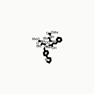 COC(=O)NC(C(=O)NC(Cc1ccccc1)C(O)CNN(Cc1ccc(-c2ccccn2)cc1)C(=O)C(NC(=O)OC)C(C)(C)C)C(C)(C)C